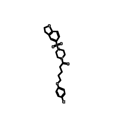 O=C(CCCCOc1ccc(Cl)cc1)N1CCN(S(=O)(=O)c2ccc3c(c2)CCO3)CC1